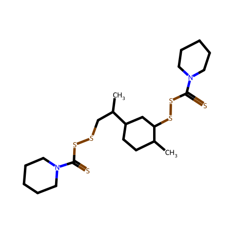 CC(CSSC(=S)N1CCCCC1)C1CCC(C)C(SSC(=S)N2CCCCC2)C1